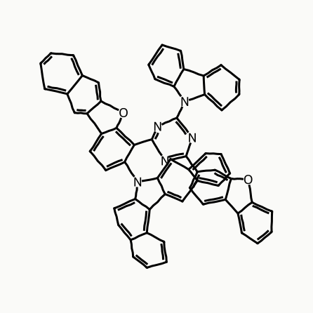 c1ccc2cc3c(cc2c1)oc1c(-c2nc(-c4ccc5c(c4)oc4ccccc45)nc(-n4c5ccccc5c5ccccc54)n2)c(-n2c4cc5ccccc5cc4c4c5ccccc5ccc42)ccc13